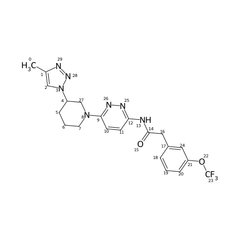 Cc1cn(C2CCCN(c3ccc(NC(=O)Cc4cccc(OC(F)(F)F)c4)nn3)C2)nn1